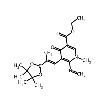 C=Nc1c(/C=C(\C)B2OC(C)(C)C(C)(C)O2)c(=O)c(C(=O)OCC)cn1C